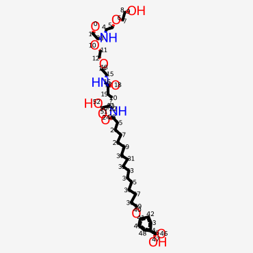 O=CC(NCCOCCO)OCCOCCNC(=O)CC[C@H](NC(=O)CCCCCCCCCCCCCCCOc1ccc(C(=O)O)cc1)C(=O)O